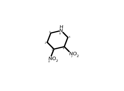 O=[N+]([O-])C1CCNCC1[N+](=O)[O-]